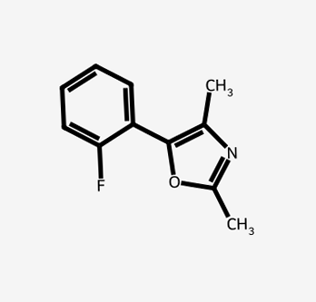 Cc1nc(C)c(-c2ccccc2F)o1